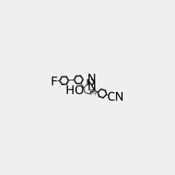 N#Cc1ccc([C@H]2CCC(O)(c3cccc(-c4ccc(F)cc4)c3)c3cncn32)cc1